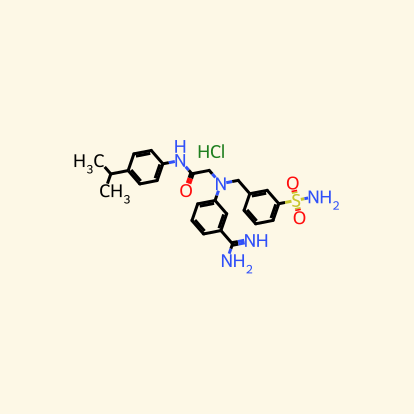 CC(C)c1ccc(NC(=O)CN(Cc2cccc(S(N)(=O)=O)c2)c2cccc(C(=N)N)c2)cc1.Cl